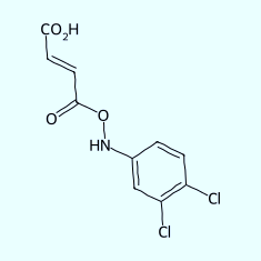 O=C(O)C=CC(=O)ONc1ccc(Cl)c(Cl)c1